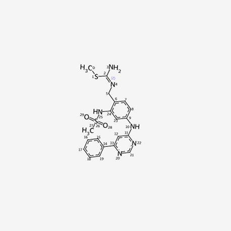 CS/C(N)=N\Cc1ccc(Nc2cc(-c3ccccc3)ncn2)cc1NS(C)(=O)=O